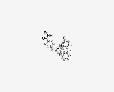 CCNC(=O)N1CCN(C[C@H]2C[C@@H]3c4ccccc4Cc4ccc(F)cc4[C@@H]3O2)CC1